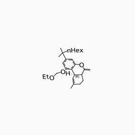 C=C1Oc2cc(C(C)(C)CCCCCC)cc(OCOCC)c2[C@@H]2C=C(C)CCC12